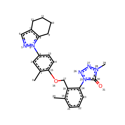 Cc1cc(-n2ncc3c2CCCC3)ccc1OCc1c(C)cccc1-n1nnn(C)c1=O